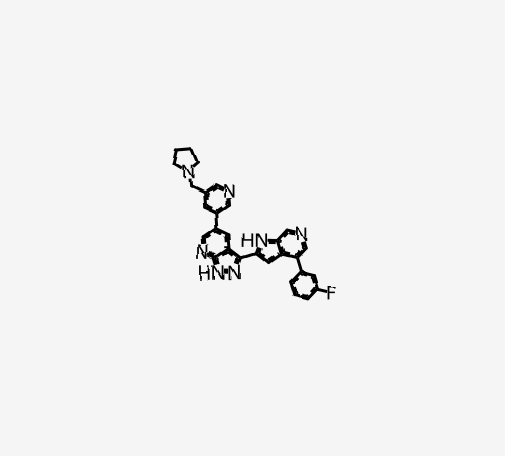 Fc1cccc(-c2cncc3[nH]c(-c4n[nH]c5ncc(-c6cncc(CN7CCCC7)c6)cc45)cc23)c1